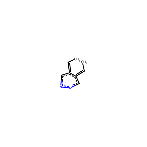 C/C=c1/cnnc/c1=C/C